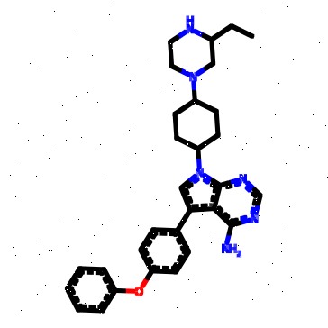 CCC1CN(C2CCC(n3cc(-c4ccc(Oc5ccccc5)cc4)c4c(N)ncnc43)CC2)CCN1